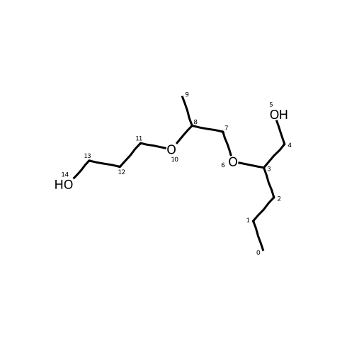 CCCC(CO)OCC(C)OCCCO